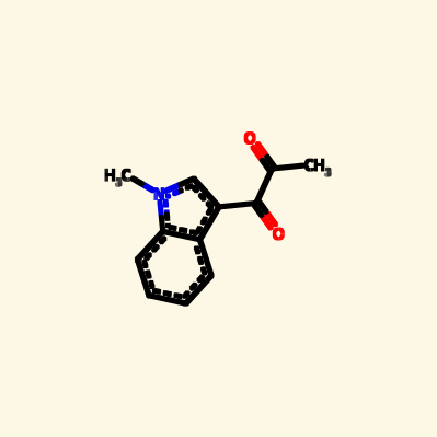 CC(=O)C(=O)c1cn(C)c2ccccc12